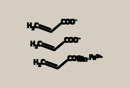 C=CC(=O)[O-].C=CC(=O)[O-].C=CC(=O)[O-].[Fe+3].[Mn]